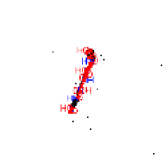 CC(=O)N(O)CCCCCNC(=O)CCC(=O)N(O)CCCCCNC(=O)CCC(=O)N(O)CCCCCNC(=O)C1(C)CCc2c(C)c(O)c(C)c(C)c2O1